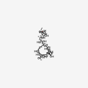 CC[C@H]1C[C@@H]2C[C@H]3[C@@H](O)[C@@H](C)[C@H](C[C@H](O)[C@@H](C)CCC(O)C(O)/C=C(\C)[C@@H]4C/C=C/C=C/[C@H](O)[C@H](C)[C@@H](O)[C@@H](CCC(C)=O)C(=O)N[C@@H](C(C)C)C(=O)NC(c5cc(O)cc(F)c5)C(=O)N5CCCC(N5)C(=O)O4)O[C@]23NC1=O